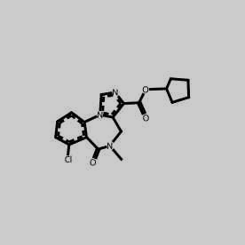 CN1Cc2c(C(=O)OC3CCCC3)ncn2-c2cccc(Cl)c2C1=O